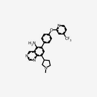 CN1CCC(c2cc(-c3ccc(Oc4cc(C(F)(F)F)ccn4)cc3)c(N)c3cncnc23)C1